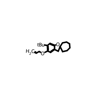 C=CCOc1cc2c(cc1C(C)(C)C)OC1(CCCCCC1)C2